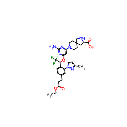 CCOC(=O)CCc1ccc(C(Oc2cc(N3CCC4(CC3)CNC(C(=O)O)C4)nc(N)n2)C(F)(F)F)c(-n2ccc(C)n2)c1